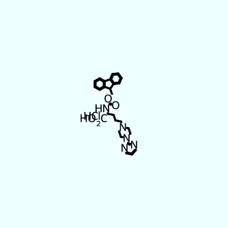 Cl.O=C(NC(CCCN1CCN(c2ncccn2)CC1)C(=O)O)OCC1c2ccccc2-c2ccccc21